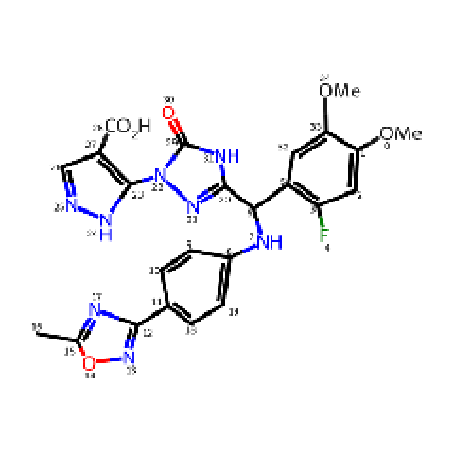 COc1cc(F)c(C(Nc2ccc(-c3noc(C)n3)cc2)c2nn(-c3[nH]ncc3C(=O)O)c(=O)[nH]2)cc1OC